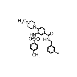 Cc1ccc(S(=O)(=O)Nc2cc(C(=O)NCc3cccc(F)c3)ccc2N2CCN(C)CC2)cc1